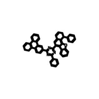 C1=Cc2c(c3ccc(-c4nc(-c5ccccc5)nc(-c5cc6c(c7oc8ccccc8c57)C(c5ccccc5)CC=C6)n4)cc3c3ccccc23)CC1